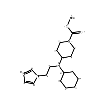 CC(C)(C)OC(=O)N1CCC(N(CCn2ccnc2)C2CCCCC2)CC1